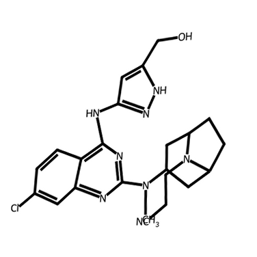 CN(c1nc(Nc2cc(CO)[nH]n2)c2ccc(Cl)cc2n1)C1CC2CCC(C1)N2CCC#N